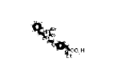 CCOC(Cc1ccc(OCCN(CCCC2CCCCC2)C(=O)NC(C)C)cc1)C(=O)O